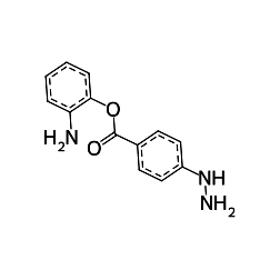 NNc1ccc(C(=O)Oc2ccccc2N)cc1